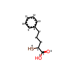 O=C(O)C(S)CCCc1ccccc1